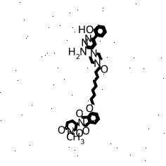 CN1C(=O)CCC(N2C(=O)c3cccc(OCCCCCCCCC(=O)N4CCN(c5cc(-c6ccccc6O)nnc5N)CC4)c3C2=O)C1=O